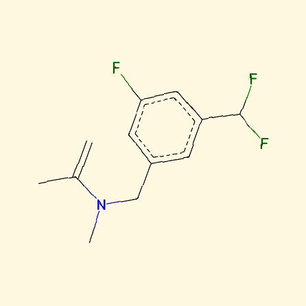 C=C(C)N(C)Cc1cc(F)cc(C(F)F)c1